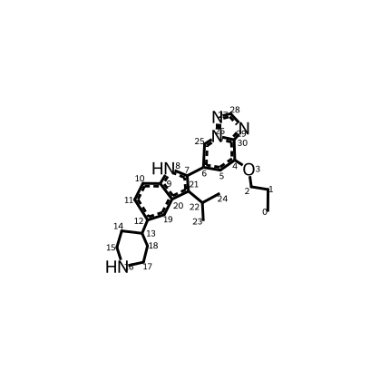 CCCOc1cc(-c2[nH]c3ccc(C4CCNCC4)cc3c2C(C)C)cn2ncnc12